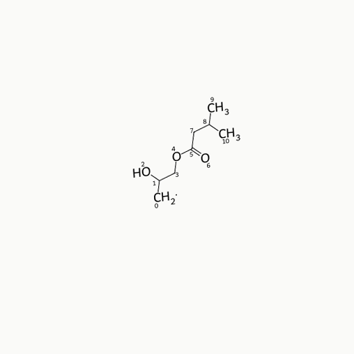 [CH2]C(O)COC(=O)CC(C)C